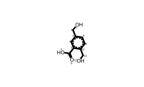 O=C(O)c1cc(CO)ccc1CO